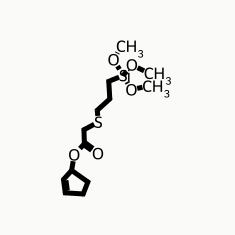 CO[Si](CCCSCC(=O)OC1C=CCC1)(OC)OC